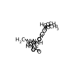 C=CCNC(=O)c1cnc(Nc2ccc(N3CCC4(CCN(C(=O)OC(C)(C)C)CC4)CC3)cc2)nc1Nc1cccc(C2(F)COC2)n1